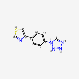 [c]1nc(-c2ccc(-n3cnnn3)cc2)cs1